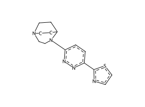 c1csc(-c2ccc(N3CCN4CCC3CC4)nn2)n1